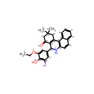 CCOc1cc(C2Nc3ccc4ccccc4c3C3=C2C(=O)CC(C)(C)C3)cc(I)c1O